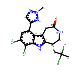 Cn1ncc(-c2cc(Cl)c(Cl)c3[nH]c4c(c23)CC(=O)NC[C@@H]4CC(C)(F)F)n1